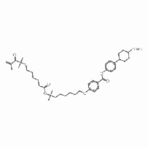 C=C(C)C(=O)C(C)(C)OCCCCCC(=O)OC(C)(C)CCCCCCOc1ccc(C(=O)Oc2ccc(C3CCC(CCCCC)CC3)cc2)cc1